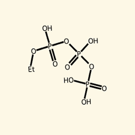 CCOP(=O)(O)OP(=O)(O)OP(=O)(O)O